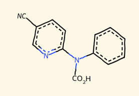 N#Cc1ccc(N(C(=O)O)c2ccccc2)nc1